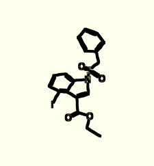 CCOC(=O)c1cn(S(=O)(=O)Cc2ccccc2)c2cccc(I)c12